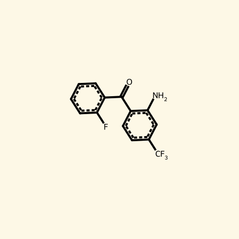 Nc1cc(C(F)(F)F)ccc1C(=O)c1ccccc1F